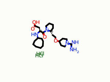 Cl.Cl.N=C(N)N1CCC(OCC[C@H]2CCCCN2C(=O)[C@H](CC(=O)O)NC2CCCCCCC2)CC1